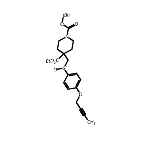 CC#CCOc1ccc([S+]([O-])CC2(C(=O)OCC)CCN(C(=O)OC(C)(C)C)CC2)cc1